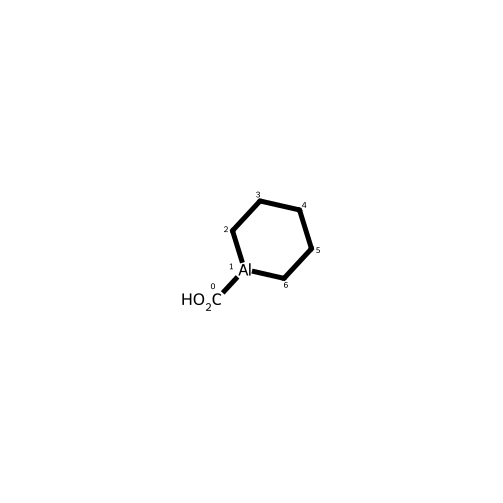 O=[C](O)[Al]1[CH2]CCC[CH2]1